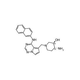 N[C@@H]1CCN(Cc2ccn3ncnc(Nc4ccc5ccccc5c4)c23)C[C@H]1O